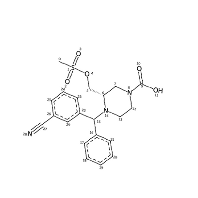 CS(=O)(=O)OC[C@@H]1CN(C(=O)O)CCN1C(c1ccccc1)c1cccc(C#N)c1